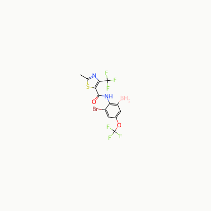 Bc1cc(OC(F)(F)F)cc(Br)c1NC(=O)c1sc(C)nc1C(F)(F)F